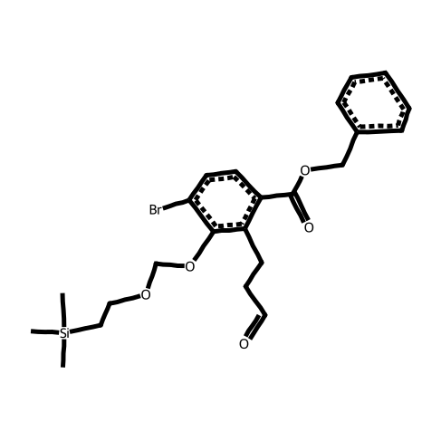 C[Si](C)(C)CCOCOc1c(Br)ccc(C(=O)OCc2ccccc2)c1CCC=O